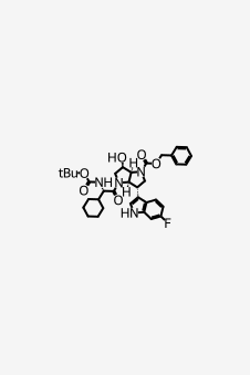 CC(C)(C)OC(=O)N[C@H](C(=O)N1C[C@@H](O)[C@@H]2[C@H]1[C@@H](c1c[nH]c3cc(F)ccc13)CN2C(=O)OCc1ccccc1)C1CCCCC1